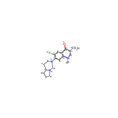 CCn1cc(C(=O)O)c(=O)c2cc(F)c(N3CCC4CCCN4C3)cc21